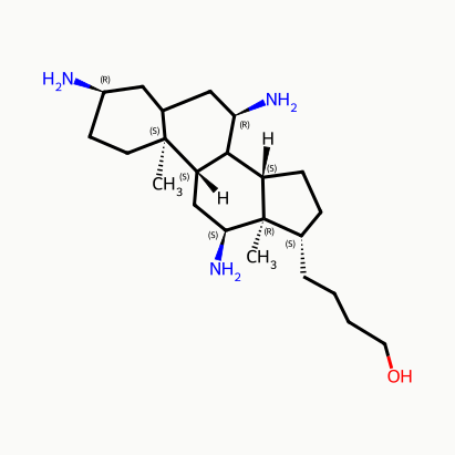 C[C@@]12[C@@H](CCCCO)CC[C@H]1C1[C@H](N)CC3C[C@H](N)CC[C@]3(C)[C@H]1C[C@@H]2N